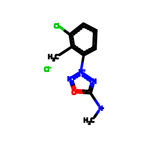 C[N]c1n[n+](-c2cccc(Cl)c2C)no1.[Cl-]